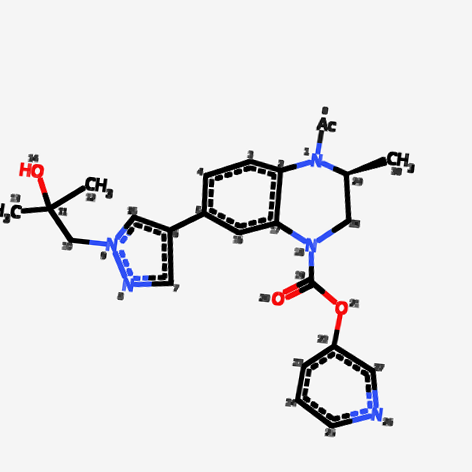 CC(=O)N1c2ccc(-c3cnn(CC(C)(C)O)c3)cc2N(C(=O)Oc2cccnc2)C[C@@H]1C